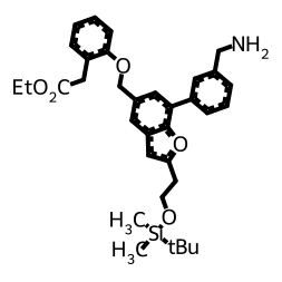 CCOC(=O)Cc1ccccc1OCc1cc(-c2cccc(CN)c2)c2oc(CCO[Si](C)(C)C(C)(C)C)cc2c1